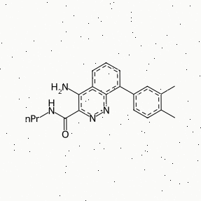 CCCNC(=O)c1nnc2c(-c3ccc(C)c(C)c3)cccc2c1N